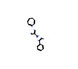 Cc1[nH]c(-c2cnn(C3=CC=CCC=C3)c2)nc1-c1ccccc1